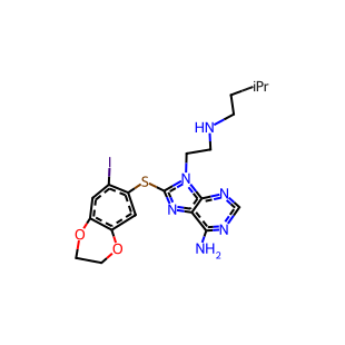 CC(C)CCNCCn1c(Sc2cc3c(cc2I)OCCO3)nc2c(N)ncnc21